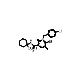 CCc1c(C)cc(C(=O)NC2(C(=O)O)CCCCC2)c(=O)n1Cc1ccc(Cl)cc1